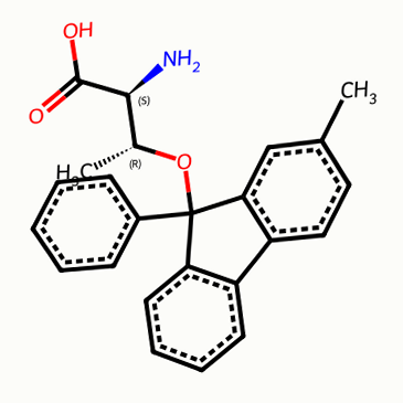 Cc1ccc2c(c1)C(O[C@H](C)[C@H](N)C(=O)O)(c1ccccc1)c1ccccc1-2